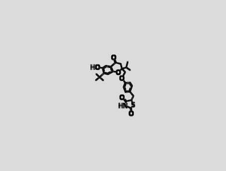 CC(C)C1(COc2ccc(CC3SC(=O)NC3=O)cc2)CC(=O)c2cc(O)c(C(C)(C)C)cc2O1